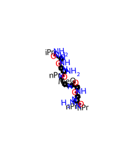 CCCN(CCC)C(=O)C1=Cc2ccc(C(=O)Nc3cccc(C4CN(Cc5ccc(CCCN(CCC)C(=O)C6=Cc7ccc(C(=O)Nc8cncc(CNC(=O)C(N)C(C)C)c8)cc7N=C(N)C6)cc5)C[C@@H]4C(=O)OC)c3)cc2N=C(N)C1